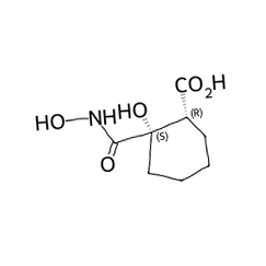 O=C(O)[C@@H]1CCCC[C@@]1(O)C(=O)NO